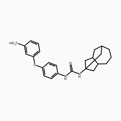 O=C(Nc1ccc(Oc2cccc(C(=O)O)c2)cc1)NC12CC3CCCC(C1)C(C3)C2